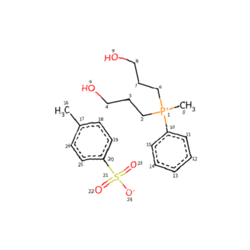 C[P+](CCCO)(CCCO)c1ccccc1.Cc1ccc(S(=O)(=O)[O-])cc1